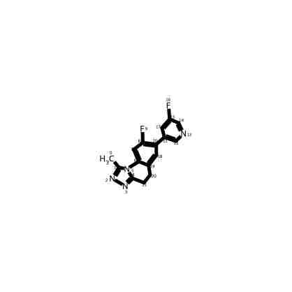 Cc1nnc2n1-c1cc(F)c(-c3cncc(F)c3)cc1CC2